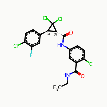 O=C(NCC(F)(F)F)c1cc(NC(=O)[C@@H]2[C@@H](c3ccc(Cl)c(F)c3)C2(Cl)Cl)ccc1Cl